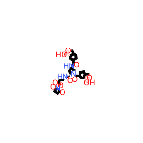 O=C(CCNC(=O)[C@@H]1C[C@@H](NC(=O)c2ccc3c(c2)B(O)OC3)CN1C(=O)c1ccc2c(c1)B(O)OC2)ON1C(=O)CCC1=O